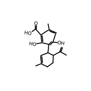 C=C(C)C1CCC(C)=CC1c1c(O)cc(C)c(C(=O)O)c1O